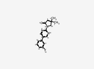 CC1(C)CC(=O)N(c2ncc(-c3cccc(F)c3)cn2)C1